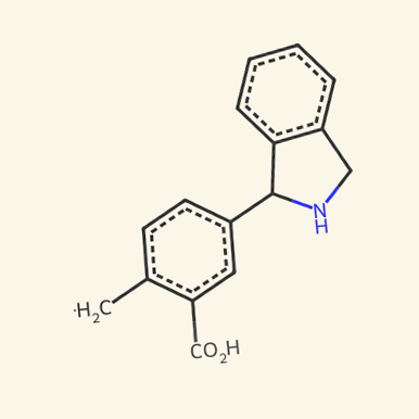 [CH2]c1ccc(C2NCc3ccccc32)cc1C(=O)O